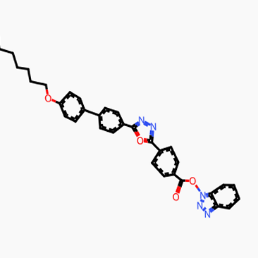 CCCCCCCOc1ccc(-c2ccc(-c3nnc(-c4ccc(C(=O)On5nnc6ccccc65)cc4)o3)cc2)cc1